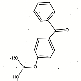 O=C(c1ccccc1)c1ccc(OP(O)O)cc1